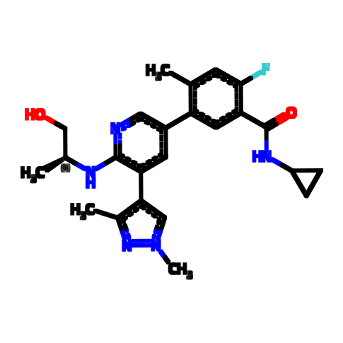 Cc1cc(F)c(C(=O)NC2CC2)cc1-c1cnc(N[C@@H](C)CO)c(-c2cn(C)nc2C)c1